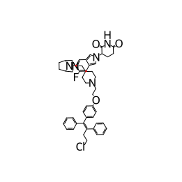 O=C1CCC(n2cc3cc(F)c(N4C5CCC4CN(CC4CCN(CCOc6ccc(C(=C(CCCl)c7ccccc7)c7ccccc7)cc6)CC4)C5)cc3c2)C(=O)N1